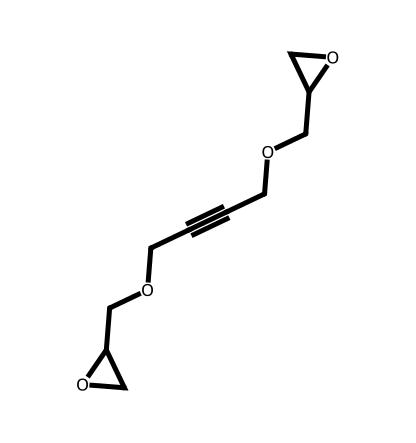 C(#CCOCC1CO1)COCC1CO1